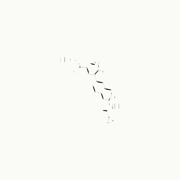 COC(=O)c1cnc(C)c(-c2ccc3cc(NC(=O)C4CC4)ncc3c2)c1